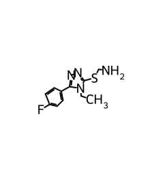 CCn1c(SCN)nnc1-c1ccc(F)cc1